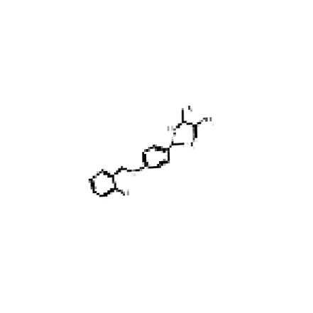 CC(NC(C)c1ccc(OCc2ccccc2Cl)cc1)C(N)=O